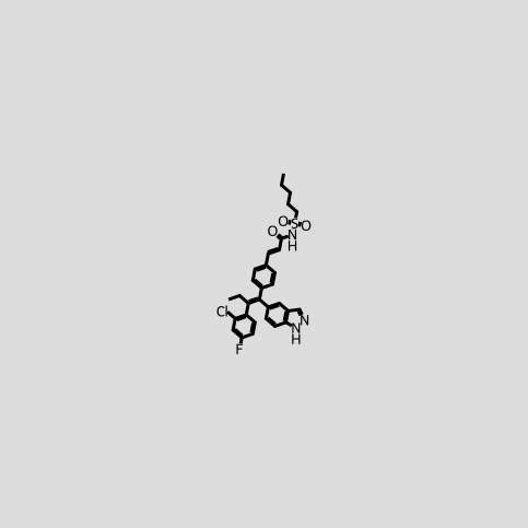 CCCCCS(=O)(=O)NC(=O)C=Cc1ccc(C(=C(CC)c2ccc(F)cc2Cl)c2ccc3[nH]ncc3c2)cc1